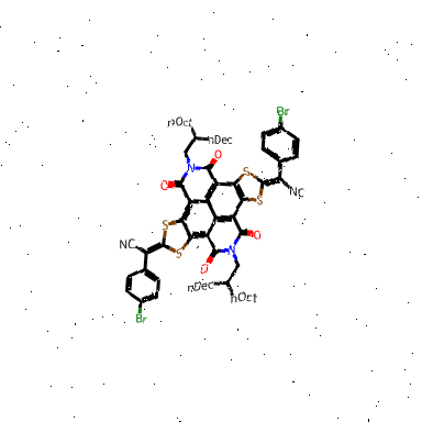 [C-]#[N+]C(c1ccc(Br)cc1)=c1sc2c(s1)c1c(=O)n(CC(CCCCCCCC)CCCCCCCCCC)c(=O)c3c4sc(=C(C#N)c5ccc(Br)cc5)sc4c4c(=O)n(CC(CCCCCCCC)CCCCCCCCCC)c(=O)c2c4c31